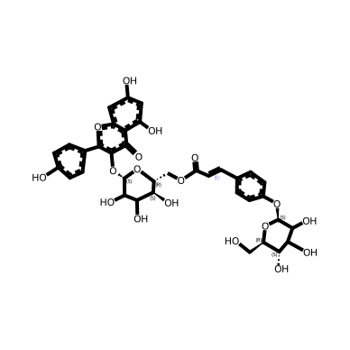 O=C(/C=C/c1ccc(O[C@@H]2O[C@H](CO)[C@@H](O)C(O)C2O)cc1)OC[C@H]1O[C@@H](Oc2c(-c3ccc(O)cc3)oc3cc(O)cc(O)c3c2=O)C(O)C(O)[C@@H]1O